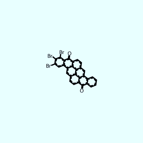 O=c1c2ccccc2c2cc3ccc4c(=O)c5c(Br)c(Br)c(Br)cc5c5cc6ccc1c2c6c3c45